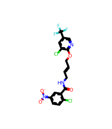 O=C(NCC=CCOc1ncc(C(F)(F)F)cc1Cl)c1cc([N+](=O)[O-])ccc1Cl